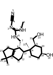 CN/C(=N\C#N)NC[C@H]1C2=C(CC[C@@H]1[C@]1(C)CC[C@H](O)C[C@@H]1CO)C(C)(C)CC2